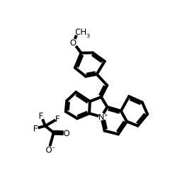 COc1ccc(/C=C2\c3ccccc3-[n+]3ccc4ccccc4c32)cc1.O=C([O-])C(F)(F)F